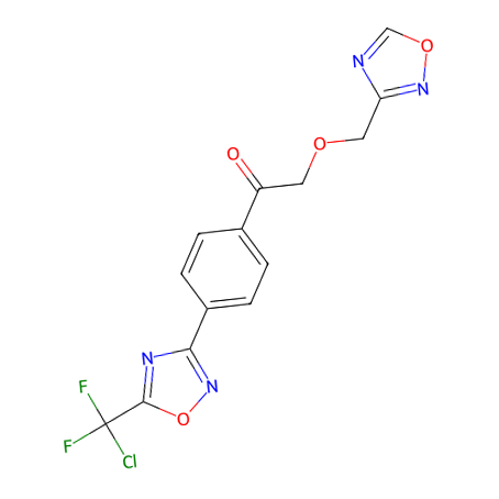 O=C(COCc1ncon1)c1ccc(-c2noc(C(F)(F)Cl)n2)cc1